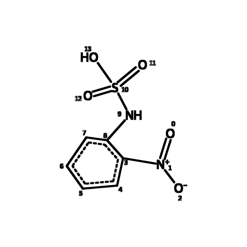 O=[N+]([O-])c1ccccc1NS(=O)(=O)O